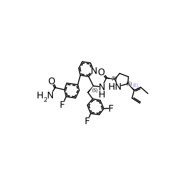 C=C/C(=C\C)[C@@H]1CC[C@H](C(=O)N[C@@H](Cc2cc(F)cc(F)c2)c2ncccc2-c2ccc(F)c(C(N)=O)c2)N1